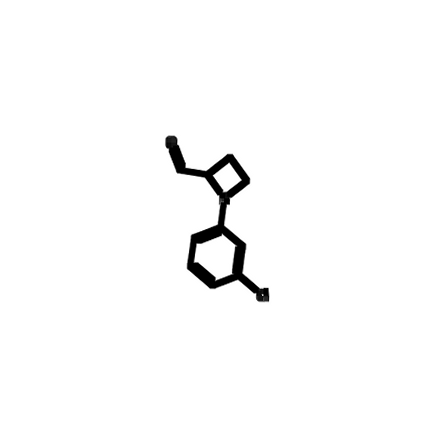 O=CC1CCN1c1cccc(Cl)c1